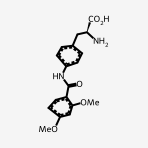 COc1ccc(C(=O)Nc2ccc(C[C@H](N)C(=O)O)cc2)c(OC)c1